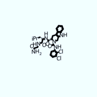 CC(C)C[C@H](NC(=O)[C@H]1Cc2c([nH]c3ccccc23)CN1C(=O)Nc1cccc(Cl)c1Cl)C(=O)NCC(N)=O